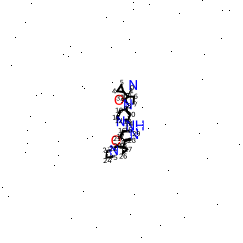 N#C[C@@]1(C2CC2)CCN(c2ccnc(Nc3ccc(C4(C(=O)N5CCC5)CC4)cn3)c2)C1=O